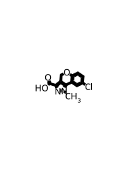 Cn1nc(C(=O)O)c2c1-c1cc(Cl)ccc1OC2